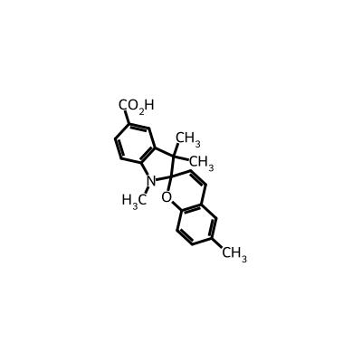 Cc1ccc2c(c1)C=CC1(O2)N(C)c2ccc(C(=O)O)cc2C1(C)C